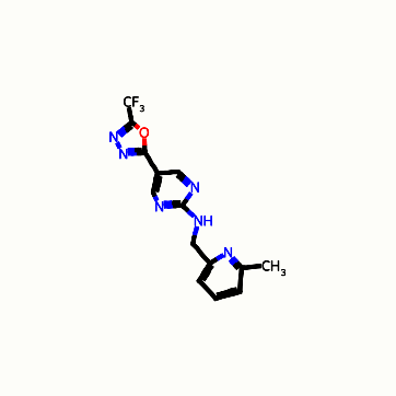 Cc1cccc(CNc2ncc(-c3nnc(C(F)(F)F)o3)cn2)n1